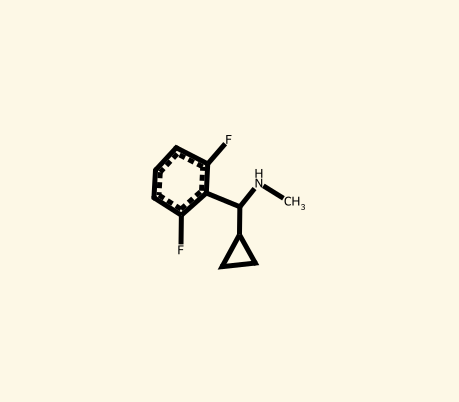 CNC(c1c(F)cccc1F)C1CC1